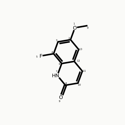 COc1cc(F)c2[nH]c(=O)ccc2c1